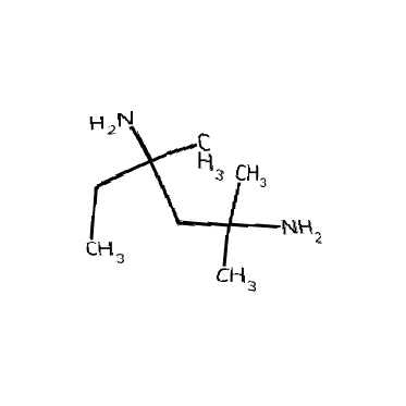 CCC(C)(N)CC(C)(C)N